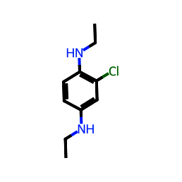 CCNc1ccc(NCC)c(Cl)c1